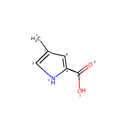 Cc1c[nH]c(C(=O)O)c1